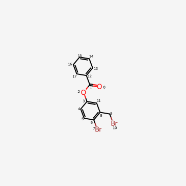 O=C(Oc1ccc(Br)c(CBr)c1)c1ccccc1